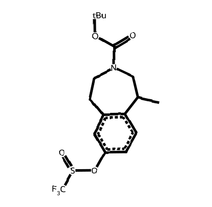 CC1CN(C(=O)OC(C)(C)C)CCc2cc(OS(=O)C(F)(F)F)ccc21